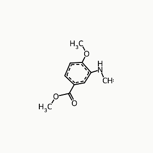 [CH]Nc1cc(C(=O)OC)ccc1OC